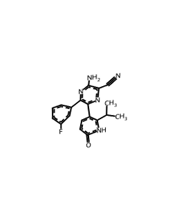 CC(C)c1[nH]c(=O)ccc1-c1nc(C#N)c(N)nc1-c1cccc(F)c1